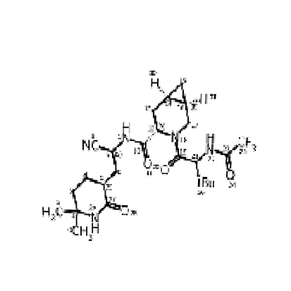 CC1(C)CC[C@@H](C[C@@H](C#N)NC(=O)[C@@H]2C[C@H]3C[C@H]3CN2C(=O)C(NC(=O)C(F)(F)F)C(C)(C)C)C(=O)N1